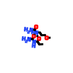 CCC(NC(N)=O)OC.COCCCNC(N)=O